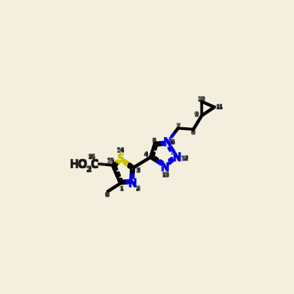 Cc1nc(-c2cn(CCC3CC3)nn2)sc1C(=O)O